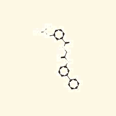 CN(C)Sc1cccc(C(=O)NCC(=O)Nc2cccc(-c3ccccc3)c2)c1